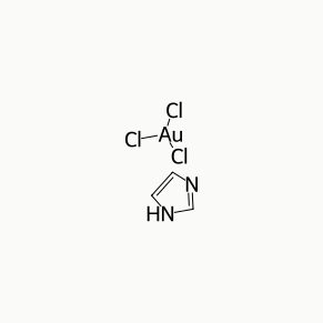 [Cl][Au]([Cl])[Cl].c1c[nH]cn1